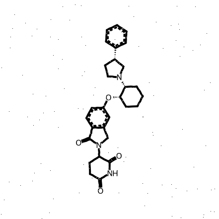 O=C1CCC(N2Cc3cc(O[C@H]4CCCC[C@H]4N4CC[C@H](c5ccccc5)C4)ccc3C2=O)C(=O)N1